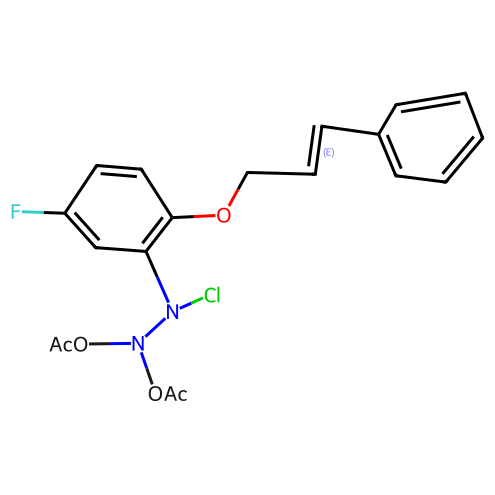 CC(=O)ON(OC(C)=O)N(Cl)c1cc(F)ccc1OC/C=C/c1ccccc1